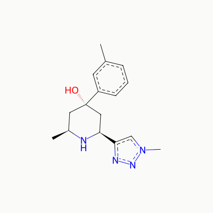 Cc1cccc([C@@]2(O)C[C@@H](c3cn(C)nn3)N[C@@H](C)C2)c1